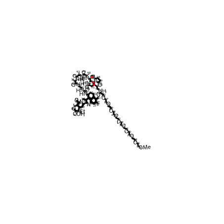 CC[C@]1(O)C(=O)OCc2c1cc1n(c2=O)Cc2c-1nc1cc(F)c(C)c3c1c2[C@@H](NC(=O)NCCNC(=O)[C@@H](C)NC(=O)[C@@H](C)NC(=O)[C@@H](C)NC(=O)[C@@H](CCCCNC(=O)COCCOCCOCCOCCOCCOCCOCCOCCOCCOC)NC(=O)CCCN1C(=O)C=CC1=O)CC3